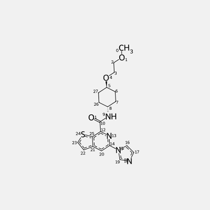 COCCO[C@H]1CC[C@H](NC(=O)c2nc(-n3ccnc3)cc3ccsc23)CC1